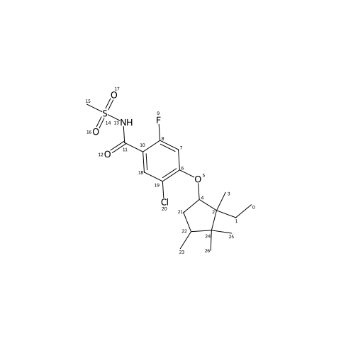 CCC1(C)C(Oc2cc(F)c(C(=O)NS(C)(=O)=O)cc2Cl)CC(C)C1(C)C